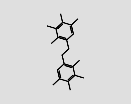 Cc1cc(CCc2cc(C)c(C)c(C)c2C)c(C)c(C)c1C